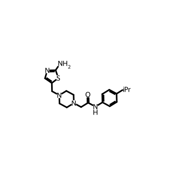 CC(C)c1ccc(NC(=O)CN2CCN(Cc3cnc(N)s3)CC2)cc1